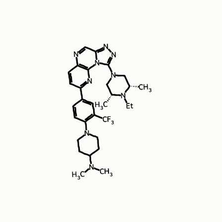 CCN1[C@H](C)CN(c2nnc3cnc4ccc(-c5ccc(N6CCC(N(C)C)CC6)c(C(F)(F)F)c5)nc4n23)C[C@@H]1C